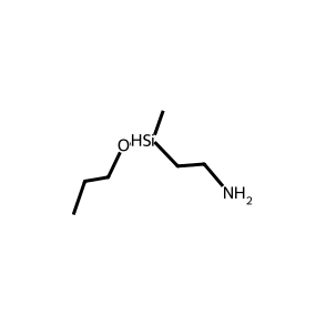 CCCO[SiH](C)CCN